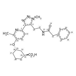 Cc1nc(-c2nnn(C)c2CCNC(=O)Cc2ccccc2)ccc1O[C@H]1CCC[C@H](C(=O)O)C1